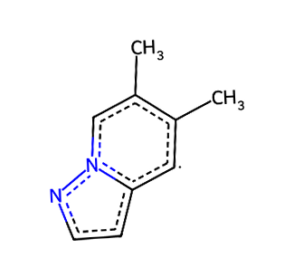 Cc1[c]c2ccnn2cc1C